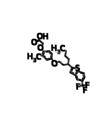 CCCCC(CCOc1ccc(OCC(=O)O)c(C)c1)c1cc2cc(C(F)(F)F)ccc2s1